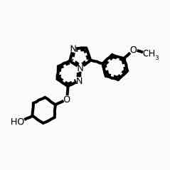 COc1cccc(-c2cnc3ccc(OC4CCC(O)CC4)nn23)c1